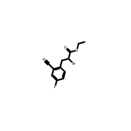 CCOC(=O)C(Br)Cc1c[c]c(F)cc1C#N